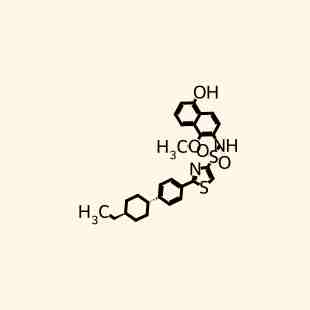 CC[C@H]1CC[C@H](c2ccc(-c3nc(S(=O)(=O)Nc4ccc5c(O)cccc5c4OC)cs3)cc2)CC1